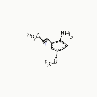 Nc1ccc(OC(F)(F)F)cc1/C=C/C(=O)O